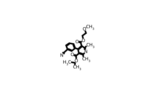 COCCOC(=O)c1c(C)nc(C)c(C(=O)OC(C)C)c1-c1cccc(C#N)c1